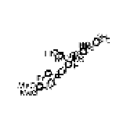 COc1ccc(CN2CCN(C3CC4(CCN(c5ccc(C(=O)NS(=O)(=O)c6ccc(NC[C@H]7CC[C@](C)(O)CC7)c([N+](=O)[O-])c6)c(Oc6cnc7[nH]ccc7c6)c5)CC4)C3)[C@H](c3ccccc3C(C)C)C2)cc1OC